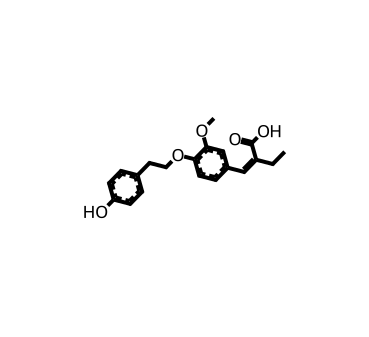 CC/C(=C/c1ccc(OCCc2ccc(O)cc2)c(OC)c1)C(=O)O